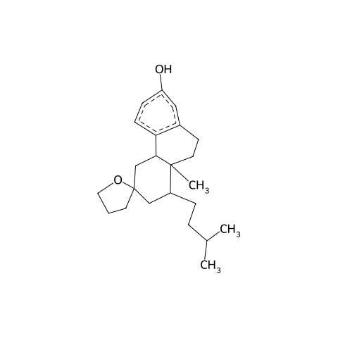 CC(C)CCC1CC2(CCCO2)CC2c3ccc(O)cc3CCC12C